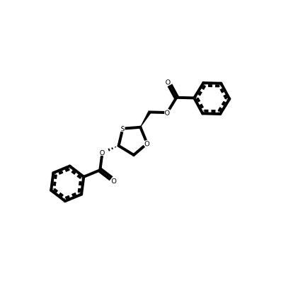 O=C(OC[C@H]1OC[C@H](OC(=O)c2ccccc2)S1)c1ccccc1